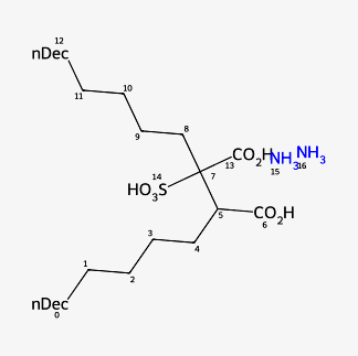 CCCCCCCCCCCCCCC(C(=O)O)C(CCCCCCCCCCCCCC)(C(=O)O)S(=O)(=O)O.N.N